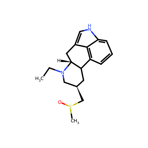 CCN1C[C@H](C[S+](C)[O-])CC2c3cccc4[nH]cc(c34)C[C@H]21